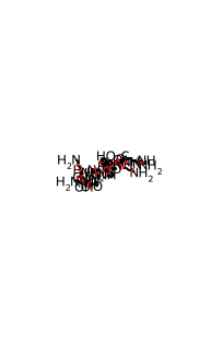 C[C@H](NC(=O)[C@@H](NC(=O)[C@@H](N)CCCCN)[C@@H](O)CN)C(=O)NCC(=O)N[C@H](CCCN)C(=O)N1CCC[C@H]1C(=O)NC(Cc1ccccn1)C(=O)N[C@@H](CCCCN)C(=O)N/C(=C\CCNC(=N)N)C(=O)O